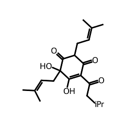 CC(C)=CCC1C(=O)C(C(=O)CC(C)C)=C(O)C(O)(CC=C(C)C)C1=O